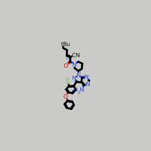 CC(C)(C)CC/C=C(\C#N)C(=O)N1CCC[C@@H](n2nc(-c3ccc(Oc4ccccc4)cc3F)c3c(N)ncnc32)C1